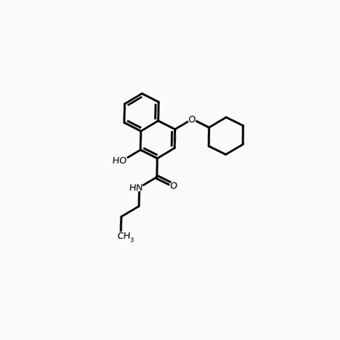 CCCNC(=O)c1cc(OC2CCCCC2)c2ccccc2c1O